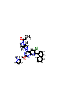 C=CC(=O)N1CC[C@@H]2[C@H]1CN2c1nc(OC[C@@H]2CCCN2C)nc2nc(-c3cccc4c3CCCC4)c(Cl)cc12